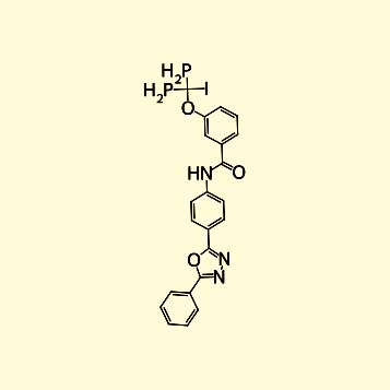 O=C(Nc1ccc(-c2nnc(-c3ccccc3)o2)cc1)c1cccc(OC(P)(P)I)c1